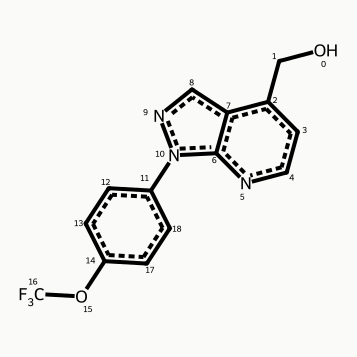 OCc1ccnc2c1cnn2-c1ccc(OC(F)(F)F)cc1